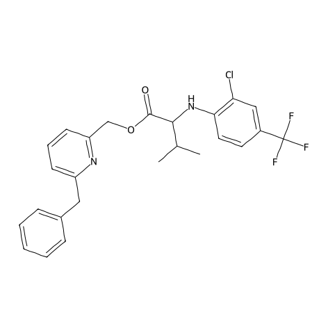 CC(C)C(Nc1ccc(C(F)(F)F)cc1Cl)C(=O)OCc1cccc(Cc2ccccc2)n1